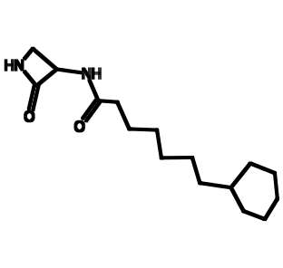 O=C(CCCCCCC1CCCCC1)NC1CNC1=O